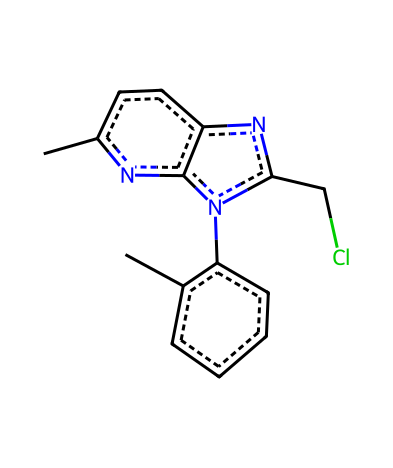 Cc1ccc2nc(CCl)n(-c3ccccc3C)c2n1